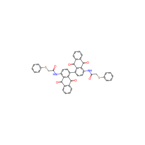 O=C(CSc1ccccc1)Nc1ccc(-c2ccc(NC(=O)CSc3ccccc3)c3c2C(=O)c2ccccc2C3=O)c2c1C(=O)c1ccccc1C2=O